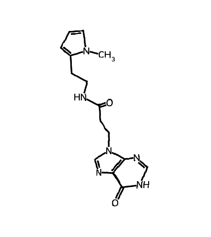 Cn1cccc1CCNC(=O)CCn1cnc2c(=O)[nH]cnc21